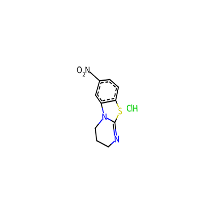 Cl.O=[N+]([O-])c1ccc2c(c1)N1CCCN=C1S2